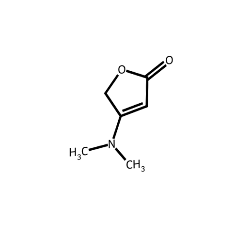 CN(C)C1=CC(=O)OC1